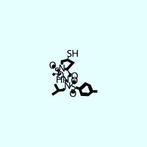 Cc1ccc(S(=O)(=O)N(CC(C)C)NC(=O)[C@@H]2C[C@@H](S)CN2S(C)(=O)=O)cc1